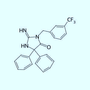 N=C1NC(c2ccccc2)(c2ccccc2)C(=O)N1Cc1cccc(C(F)(F)F)c1